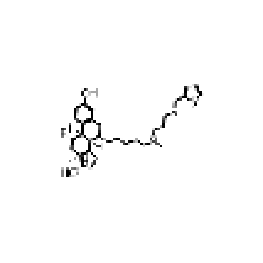 CN(CCCCC[C@@H]1Cc2cc(O)ccc2[C@@H]2[C@@H]1[C@@H]1CC[C@H](O)[C@@]1(C)C[C@@H]2F)CCCSCc1cccs1